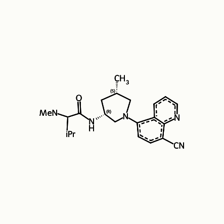 CNC(C(=O)N[C@@H]1C[C@H](C)CN(c2ccc(C#N)c3ncccc23)C1)C(C)C